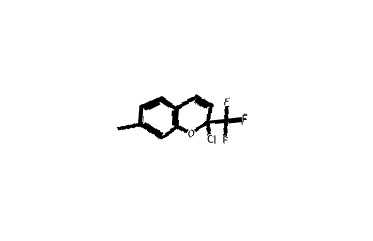 Cc1ccc2c(c1)OC(Cl)(C(F)(F)F)C=C2